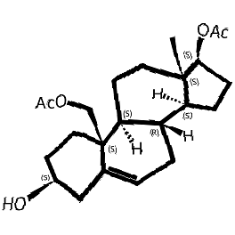 CC(=O)OC[C@]12CC[C@H](O)CC1=CC[C@@H]1[C@@H]2CC[C@]2(C)[C@@H](OC(C)=O)CC[C@@H]12